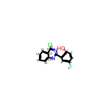 Oc1ccc(F)cc1-c1nc(Cl)c2ccccc2n1